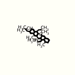 Cc1c2c(c(CC(C)C)c3ccc(CC(C)(C)C)cc13)Oc1cc3cccc(C)c3c3cc[n+](C)c-2c13